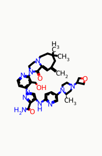 C=C1/C=C2/C(=O)N(c3nccc(-n4cc(Nc5ccc(N6CCN(C7COC7)C[C@@H]6C)cn5)c(C(N)=O)n4)c3CO)CCN2CCC(C)(C)C1